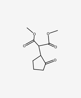 COC(=O)C(C(=O)OC)C1CCCC1=O